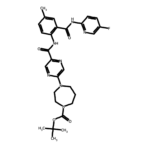 Cc1ccc(NC(=O)c2cnc(N3CCCN(C(=O)OC(C)(C)C)CC3)cn2)c(C(=O)Nc2ccc(F)cn2)c1